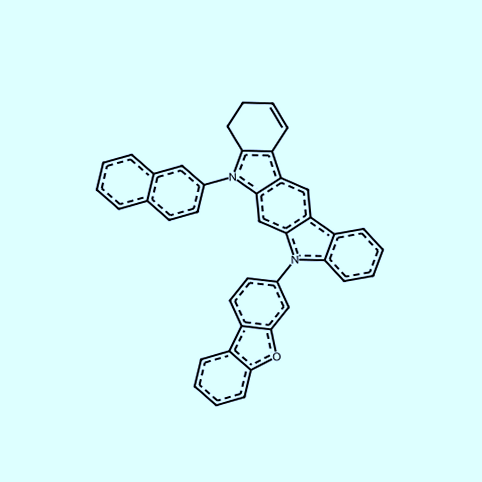 C1=Cc2c(n(-c3ccc4ccccc4c3)c3cc4c(cc23)c2ccccc2n4-c2ccc3c(c2)oc2ccccc23)CC1